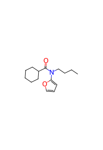 CCCCN(C(=O)C1CCCCC1)c1ccco1